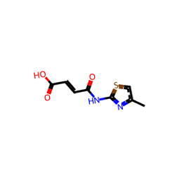 Cc1csc(NC(=O)C=CC(=O)O)n1